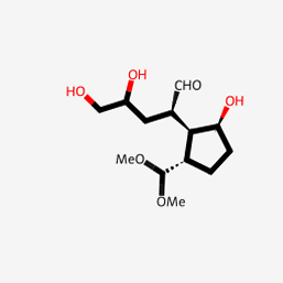 COC(OC)[C@H]1CC[C@H](O)[C@@H]1[C@H](C=O)CC(O)CO